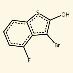 Oc1sc2cccc(F)c2c1Br